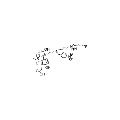 CCC1(CC)C(=O)N([C@@H](CCCCN(CCCCCn2cc(CCCF)nn2)Cc2ccc([N+](=O)[O-])cc2)C(=O)O)C(=O)N([C@@H](CCC(=O)O)C(=O)O)C1=O